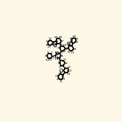 c1ccc(-c2nc(-c3ccc(-c4cccc5c4oc4ccccc45)cc3)cc(-c3cc(-c4cccc5c4oc4ccccc45)cc(-c4cccc5c4oc4ccccc45)c3)n2)cc1